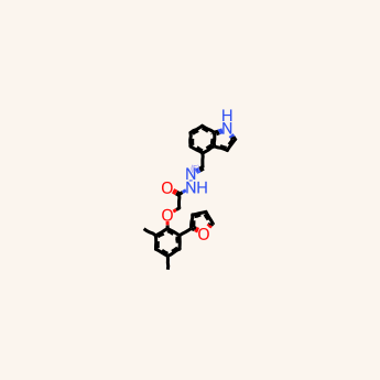 Cc1cc(C)c(OCC(=O)N/N=C/c2cccc3[nH]ccc23)c(-c2ccco2)c1